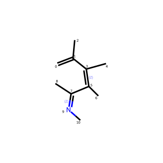 C=C(C)/C(C)=C(C)\C(C)=N/C